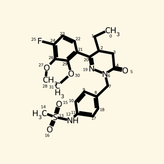 CCC1CC(=O)N(Cc2ccc(NS(C)(=O)=O)cc2)N=C1c1ccc(F)c(OC)c1OC